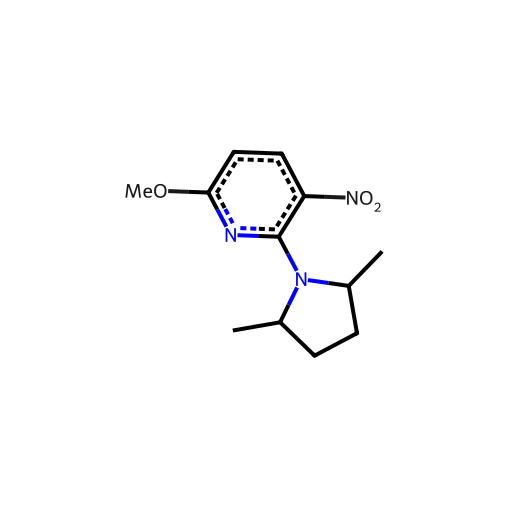 COc1ccc([N+](=O)[O-])c(N2C(C)CCC2C)n1